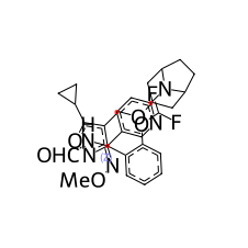 CO/N=C(\NC=O)c1ccc(N2C3CCC2CC(OCc2c(-c4ccccc4OC(F)F)noc2C2CC2)C3)nc1